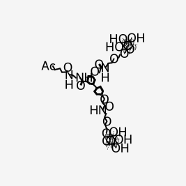 CC(=O)CCCC(=O)NCCNC(=O)c1cc(OCC(=O)NCCOCCO[C@@H]2O[C@@H](C)[C@H](O)[C@@H](O)[C@H]2O)cc(-c2ccc(OCC(=O)NCCOCCO[C@@H]3O[C@@H](C)[C@H](O)[C@@H](O)[C@H]3O)cc2)c1